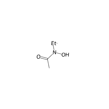 C[CH]N(O)C(C)=O